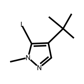 Cn1ncc(C(C)(C)C)c1I